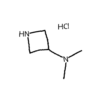 CN(C)C1CNC1.Cl